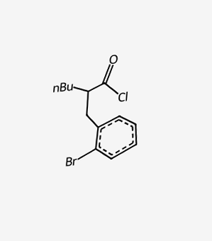 CCCCC(Cc1ccccc1Br)C(=O)Cl